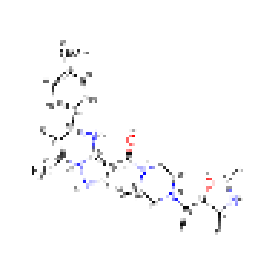 C=C(C1OC(C)=NC1C)N1CCN(C(=O)c2cnn3c(C(F)(F)F)c(C)c(-c4ccc(OC)cc4)nc23)[C@H](C)C1